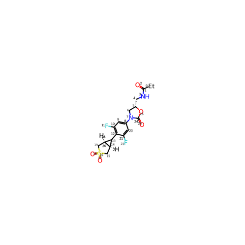 CCC(=O)NC[C@H]1CN(c2cc(F)c(C3[C@H]4CS(=O)(=O)C[C@@H]34)c(F)c2)C(=O)O1